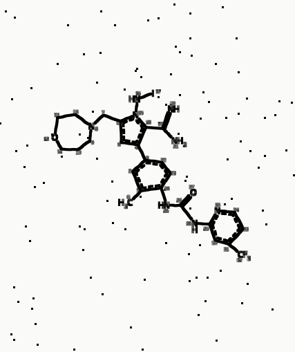 Cc1cc(-c2cc(CN3CCCOCC3)n(NI)c2C(=N)N)ccc1NC(=O)Nc1cc(C(F)(F)F)ccn1